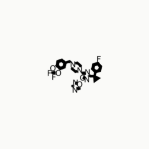 Fc1ccc(C2(c3noc(N4CCN(Cc5ccc6c(c5)OC(F)(F)O6)CC4)n3)CC2)cc1.c1ncon1